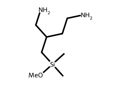 CO[Si](C)(C)CC(CN)CCN